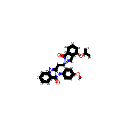 COc1ccc(-n2c(CCN3Cc4c(OC(C)C)cccc4C3=O)nc3ccccc3c2=O)cc1